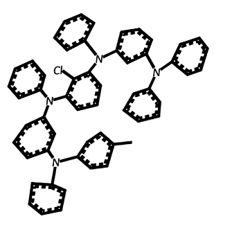 Cc1ccc(N(c2ccccc2)c2cccc(N(c3ccccc3)c3cccc(N(c4ccccc4)c4cccc(N(c5ccccc5)c5ccccc5)c4)c3Cl)c2)cc1